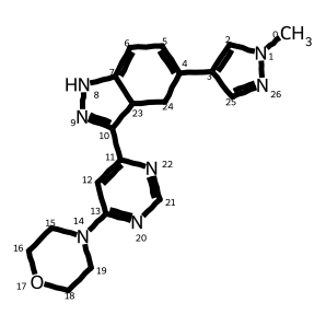 Cn1cc(C2=CC=C3NN=C(c4cc(N5CCOCC5)ncn4)C3C2)cn1